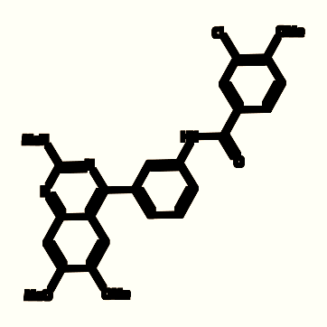 CNc1nc(-c2cccc(NC(=O)c3ccc(OC)c(Cl)c3)c2)c2cc(OC)c(OC)cc2n1